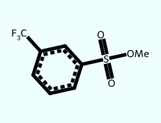 COS(=O)(=O)c1cccc(C(F)(F)F)c1